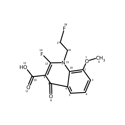 COc1cccc2c(=O)c(C(=O)O)c(F)n(CCF)c12